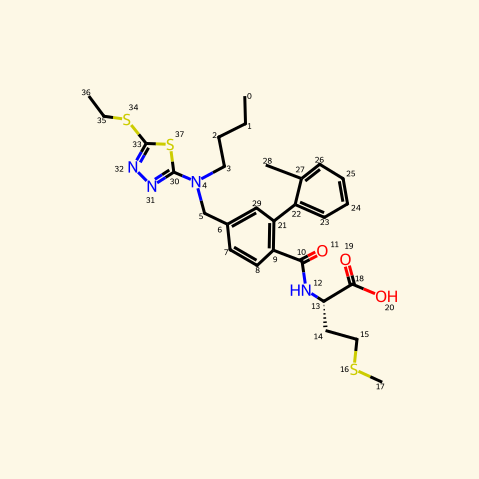 CCCCN(Cc1ccc(C(=O)N[C@@H](CCSC)C(=O)O)c(-c2ccccc2C)c1)c1nnc(SCC)s1